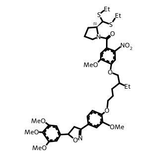 CCSC(SCC)[C@@H]1CCCN1C(=O)c1cc(OC)c(OCC(CC)CCCOc2ccc(C3=NOC(c4cc(OC)c(OC)c(OC)c4)C3)cc2OC)cc1[N+](=O)[O-]